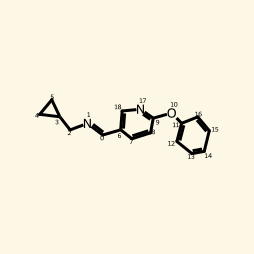 C(=N\CC1CC1)/c1ccc(Oc2ccccc2)nc1